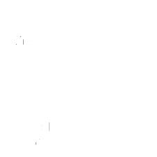 C=CCC(CC)(C1=C(C)C=CC1)C1c2ccccc2-c2ccccc21.[Cl-].[Cl-].[Zr+2]